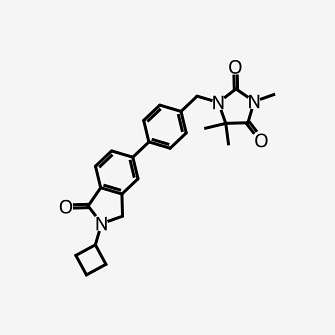 CN1C(=O)N(Cc2ccc(-c3ccc4c(c3)CN(C3CCC3)C4=O)cc2)C(C)(C)C1=O